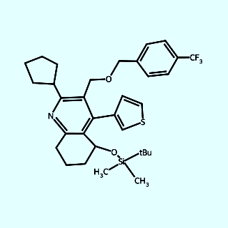 CC(C)(C)[Si](C)(C)OC1CCCc2nc(C3CCCC3)c(COCc3ccc(C(F)(F)F)cc3)c(-c3ccsc3)c21